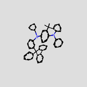 CC1(C)c2ccccc2N(c2ccccc2)c2ccc(N(c3ccccc3)c3cccc(C4(c5ccccc5)c5ccccc5-c5ccccc54)c3)cc21